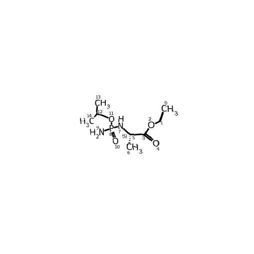 CCOC(=O)[C@H](C)NP(N)(=O)OC(C)C